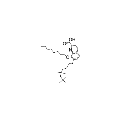 CCCCCCCCOc1c(C=CCCC(C)(C)CC(C)(C)C)ccc2ccc(C(=O)O)nc12